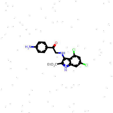 CCOC(=O)c1[nH]c2cc(Cl)cc(Cl)c2c1NCC(=O)c1ccc(N)cc1